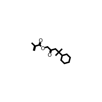 C=C(C)C(=O)OCC(=O)CC(C)(C)C1CCCCC1